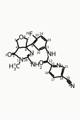 CN1C(=O)C2COCC2(c2cc(NC(=O)c3ccc(C#N)cn3)ccc2F)N=C1N